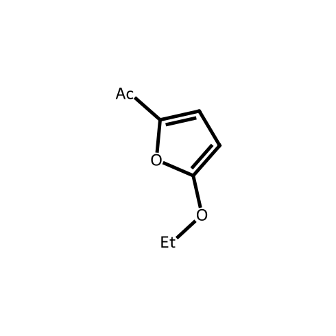 CCOc1ccc(C(C)=O)o1